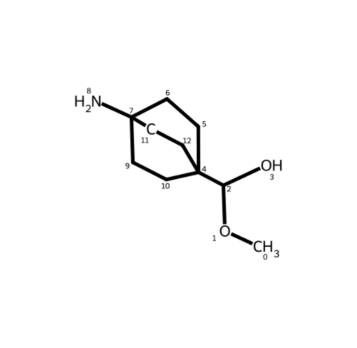 COC(O)C12CCC(N)(CC1)CC2